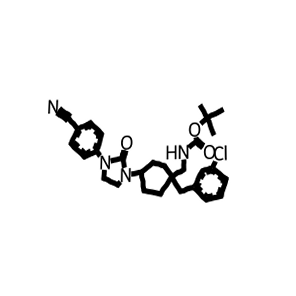 CC(C)(C)OC(=O)NCC1(Cc2cccc(Cl)c2)CCC(N2CCN(c3ccc(C#N)cc3)C2=O)CC1